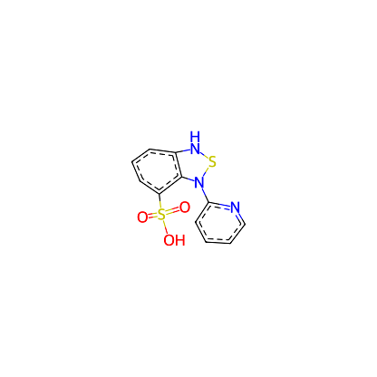 O=S(=O)(O)c1cccc2c1N(c1ccccn1)SN2